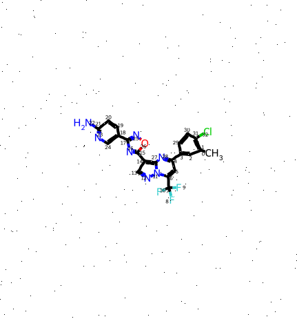 Cc1cc(-c2cc(C(F)(F)F)n3ncc(-c4nc(-c5ccc(N)nc5)no4)c3n2)ccc1Cl